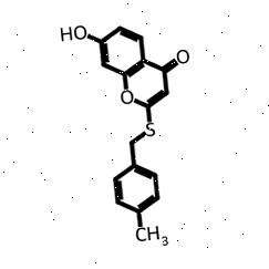 Cc1ccc(CSc2cc(=O)c3ccc(O)cc3o2)cc1